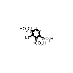 CCc1c(C(=O)O)ccc(S(=O)(=O)O)c1C(=O)O